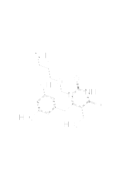 CCc1c(Cc2cc(C)cc(C)c2)n(COCCCN)c(=O)[nH]c1=O